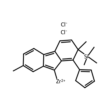 Cc1ccc2c(c1)=[C]([Zr+2])C1=C(C3=CC=CC3)C(C)([Si](C)(C)C)C=CC=21.[Cl-].[Cl-]